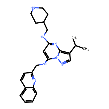 CC(C)c1cnn2c(NCc3ccc4ccccc4n3)cc(NCC3CCNCC3)nc12